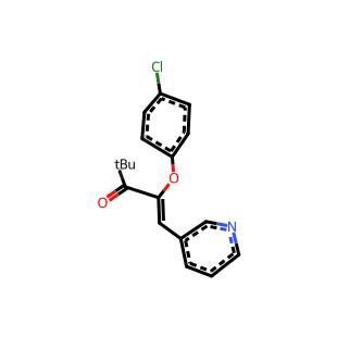 CC(C)(C)C(=O)C(=Cc1cccnc1)Oc1ccc(Cl)cc1